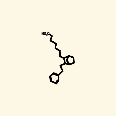 O=C(O)CCCCCCC1C2CCC(C2)C1CSc1ccccc1